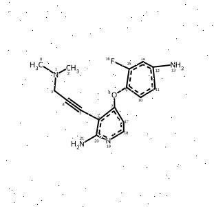 CN(C)CC#Cc1c(Oc2ccc(N)cc2F)ccnc1N